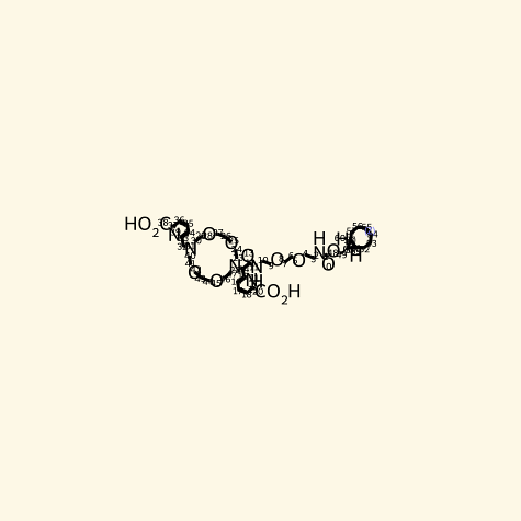 O=C(NCCOCCOCCNC(=O)C(c1cccc(C(=O)O)n1)N1CCOCCOCCN(Cc2cccc(C(=O)O)n2)CCOCCOCC1)OC[C@@H]1[C@@H]2CC/C=C\CC[C@@H]21